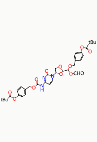 CC(C)(C)C(=O)Oc1ccc(COC(=O)Nc2ccn(C3COC(C(OC=O)OCc4ccc(OC(=O)C(C)(C)C)cc4)O3)c(=O)n2)cc1